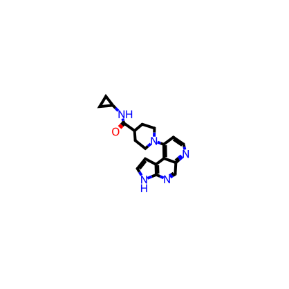 O=C(NC1CC1)C1CCN(c2ccnc3cnc4[nH]ccc4c23)CC1